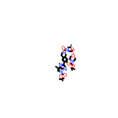 Cc1cn(C(=O)OC(C)(C)C)c2ncc(-c3cc4c(c([C@@H]5COCCN5C(=O)OC(C)(C)C)c3)CN(C(=O)N3C[C@@H](C)O[C@H](C)C3)CC4)nc12